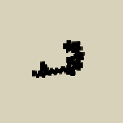 CCN(CC)CCCCCCCNC(=O)c1cnn(-c2nc(-c3cccc(C(F)(F)F)c3)cs2)c1C(F)(F)F